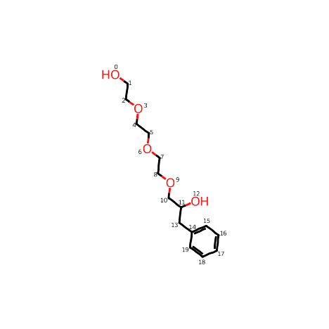 OCCOCCOCCOCC(O)Cc1ccccc1